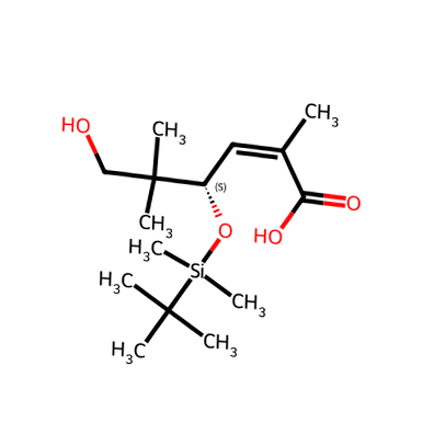 CC(=C[C@H](O[Si](C)(C)C(C)(C)C)C(C)(C)CO)C(=O)O